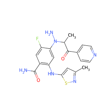 Cc1cc(Nc2cc(N(N)C(C)C(=O)c3ccncc3)c(F)cc2C(N)=O)sn1